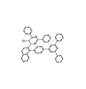 CCC1C(c2ccccc2)=NC(c2ccccc2)=NC1c1ccc2ccccc2c1-c1ccc(-c2cc(-c3ccccc3)nc(-c3ccccc3)c2)cc1